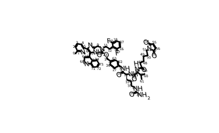 Cc1cccc(-c2nc(CN(CCc3c(F)cccc3F)C(=O)OCc3ccc(NC(=O)[C@H](CCCNC(N)=O)NC(=O)C(NC(=O)CCCCCN4C(=O)C=CC4=O)C(C)C)cc3)[nH]c2-c2ccnc3ccccc23)n1